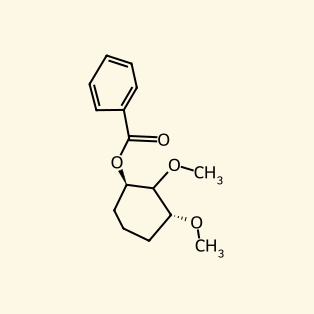 COC1[C@H](OC)CCC[C@H]1OC(=O)c1ccccc1